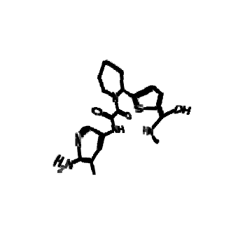 CNC(O)c1ccc([C@@H]2CCCCN2C(=O)C(=O)Nc2cnc(N)c(C)c2)s1